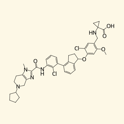 COc1cc(OC2CCc3c(-c4cccc(NC(=O)c5nc6c(n5C)CCN(C5CCCC5)C6)c4Cl)cccc32)c(Cl)cc1CNC1(C(=O)O)CC1